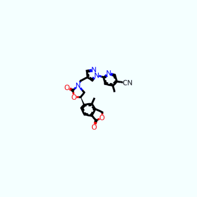 Cc1cc(-n2cc(CN3C[C@@H](c4ccc5c(c4C)COC5=O)OC3=O)cn2)ncc1C#N